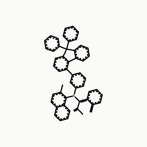 C=C(C)/C(B(c1cccc(-c2cccc3c2-c2ccccc2C3(c2ccccc2)c2ccccc2)c1)c1c(C)ccc2ccccc12)=c1/ccccc1=C